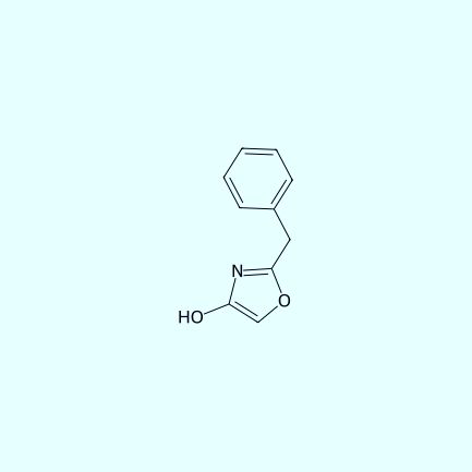 Oc1coc(Cc2ccccc2)n1